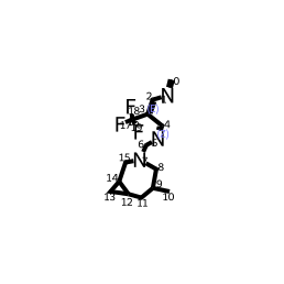 C=N/C=C(\C=N/CN1CC(C)CC2CC2C1)C(F)(F)F